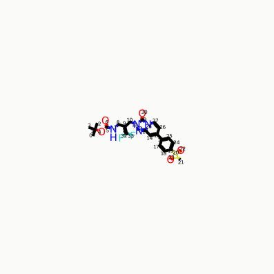 CC(C)(C)OC(=O)NCC(Cn1nc2cc(-c3ccc(S(C)(=O)=O)cc3)ccn2c1=O)=C(F)F